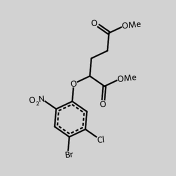 COC(=O)CCC(Oc1cc(Cl)c(Br)cc1[N+](=O)[O-])C(=O)OC